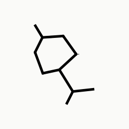 CC1C[CH]C(C(C)C)CC1